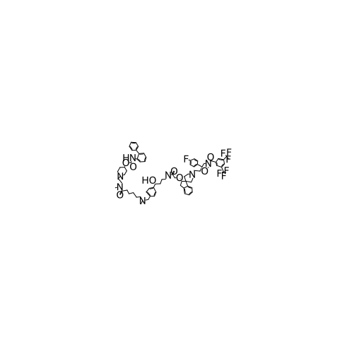 CN(CCCCCC(=O)N(C)CCN1CCC(OC(=O)Nc2ccccc2-c2ccccc2)CC1)Cc1ccc(C(O)CCCN(C)C(=O)CO[C@H]2Cc3ccccc3C23CCN(CC[C@@]2(c4ccc(F)cc4)CN(C(=O)c4cc(C(F)(F)F)cc(C(F)(F)F)c4)CO2)CC3)cc1